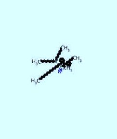 CCCCCCCCCCCCCC=CCCc1ccccc1C(=C(C)C=C=[N+]=[N-])c1cccc(CCCC)c1.CCCCCCCC[CH2][Ni][CH2]CCCCCCCC